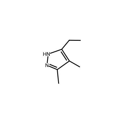 CCc1[nH]nc(C)c1C